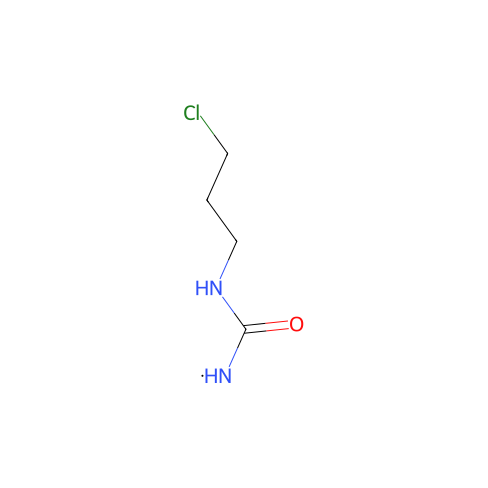 [NH]C(=O)NCCCCl